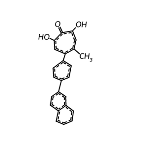 Cc1cc(O)c(=O)c(O)cc1-c1ccc(-c2ccc3ccccc3c2)cc1